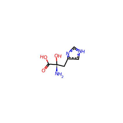 N[C@@](O)(Cc1c[nH]cn1)C(=O)O